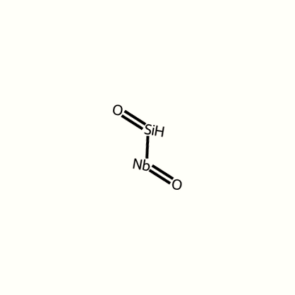 O=[SiH][Nb]=[O]